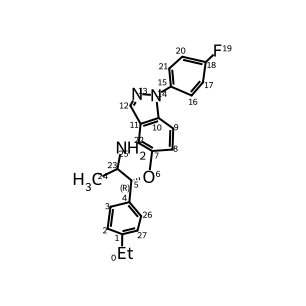 CCc1ccc([C@@H](Oc2ccc3c(cnn3-c3ccc(F)cc3)c2)C(C)N)cc1